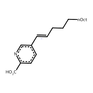 CCCCCCCCCCC/C=C/c1ccc(C(=O)O)nc1